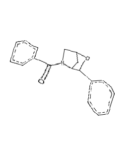 O=C(c1ccccc1)N1CC2CC1C(c1ccccc1)O2